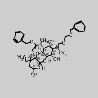 C[C@@H]1CC(O)(CN)[C@]2(O)O[C@H]3[C@H](O[C@@H]2O1)[C@@H](O)[C@H](N(C)COCOCc1ccccc1)[C@H](O)[C@@H]3N(C)C(=O)OCc1ccccc1